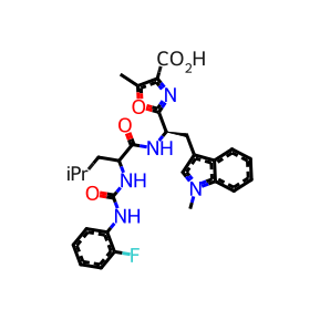 Cc1oc([C@@H](Cc2cn(C)c3ccccc23)NC(=O)C(CC(C)C)NC(=O)Nc2ccccc2F)nc1C(=O)O